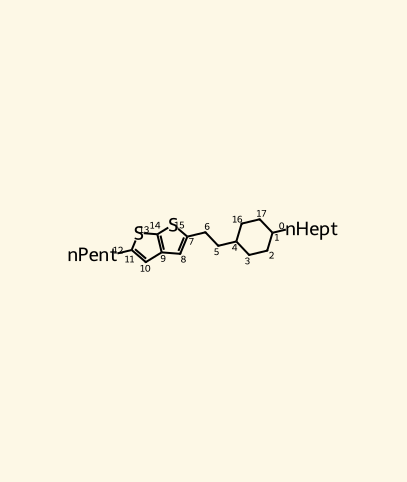 CCCCCCCC1CCC(CCc2cc3cc(CCCCC)sc3s2)CC1